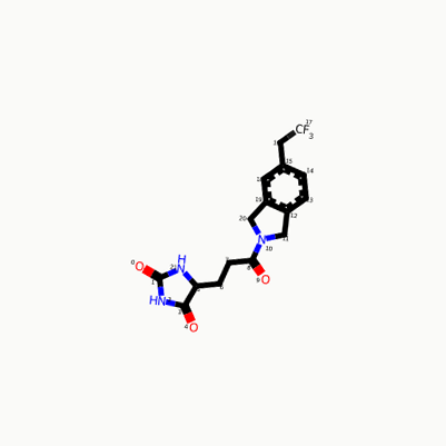 O=C1NC(=O)C(CCC(=O)N2Cc3ccc(CC(F)(F)F)cc3C2)N1